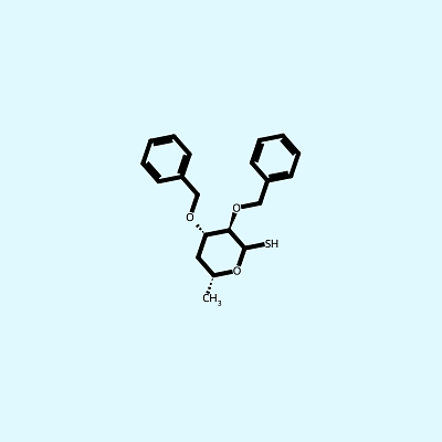 C[C@@H]1C[C@H](OCc2ccccc2)[C@@H](OCc2ccccc2)C(S)O1